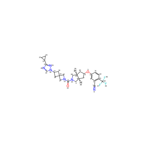 N#Cc1cc(OC2C[C@@H]3CN(C(=O)N4CC5(CC(n6cnc(C7CC7)n6)C5)C4)C[C@@H]3C2)ccc1C(F)(F)F